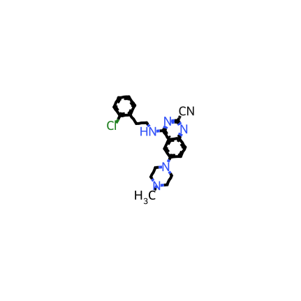 CN1CCN(c2ccc3nc(C#N)nc(NCCc4ccccc4Cl)c3c2)CC1